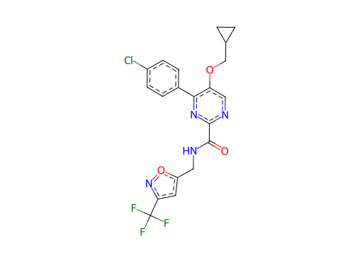 O=C(NCc1cc(C(F)(F)F)no1)c1ncc(OCC2CC2)c(-c2ccc(Cl)cc2)n1